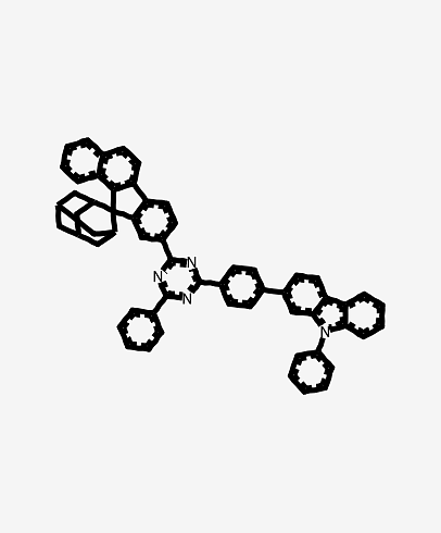 c1ccc(-c2nc(-c3ccc(-c4ccc5c6ccccc6n(-c6ccccc6)c5c4)cc3)nc(-c3ccc4c(c3)C3(c5c-4ccc4ccccc54)C4CC5CC(C4)CC3C5)n2)cc1